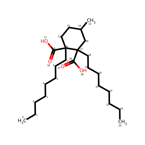 CCCCCCCCC1(C(=O)O)CCC(C)CC1(CCCCCCCC)C(=O)O